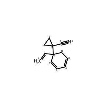 C=CC1(C2(C#N)CC2)C=CC=CC1